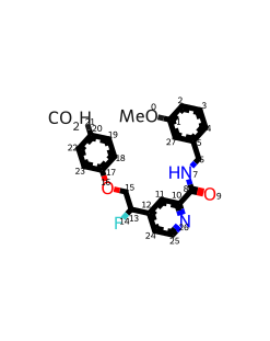 COc1cccc(CNC(=O)c2cc(C(F)COc3ccc(C(=O)O)cc3)ccn2)c1